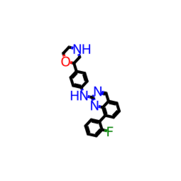 Fc1ccccc1-c1cccc2cnc(Nc3ccc(C4CNCCO4)cc3)nc12